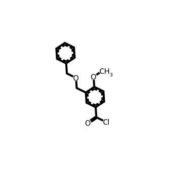 COc1ccc(C(=O)Cl)cc1COCc1ccccc1